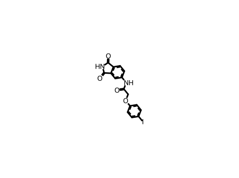 O=C(COc1ccc(I)cc1)Nc1ccc2c(c1)C(=O)NC2=O